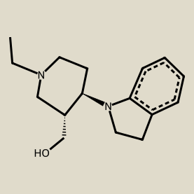 CCN1CC[C@@H](N2CCc3ccccc32)[C@H](CO)C1